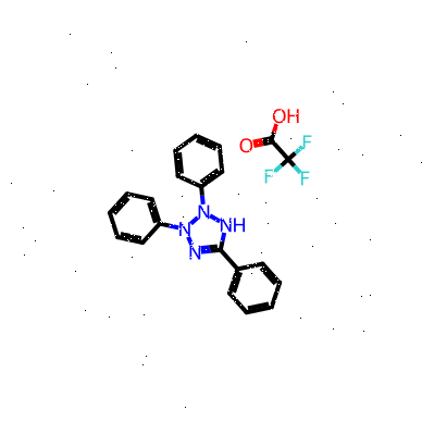 O=C(O)C(F)(F)F.c1ccc(C2=NN(c3ccccc3)N(c3ccccc3)N2)cc1